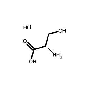 Cl.N[C@@H](CO)C(=O)O